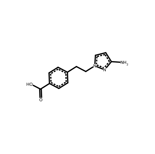 Nc1ccn(CCc2ccc(C(=O)O)cc2)n1